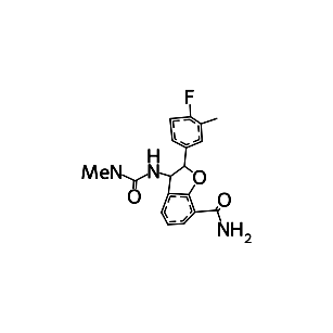 CNC(=O)NC1c2cccc(C(N)=O)c2OC1c1ccc(F)c(C)c1